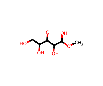 COC(O)C(O)C(O)C(O)CO